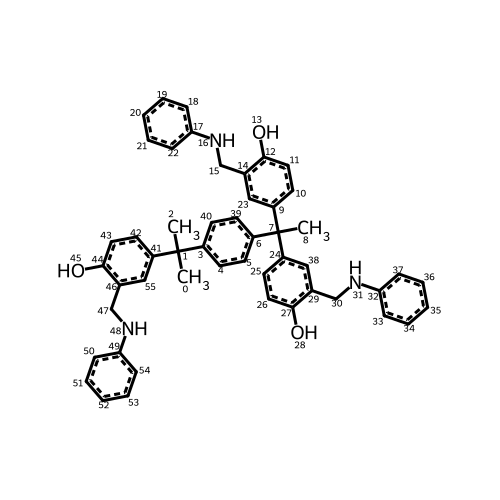 CC(C)(c1ccc(C(C)(c2ccc(O)c(CNc3ccccc3)c2)c2ccc(O)c(CNc3ccccc3)c2)cc1)c1ccc(O)c(CNc2ccccc2)c1